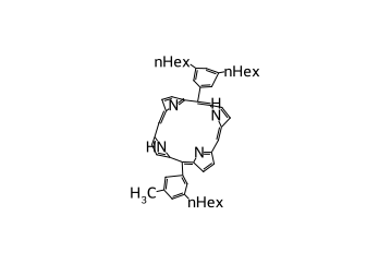 CCCCCCc1cc(C)cc(-c2c3nc(cc4ccc([nH]4)c(-c4cc(CCCCCC)cc(CCCCCC)c4)c4nc(cc5ccc2[nH]5)C=C4)C=C3)c1